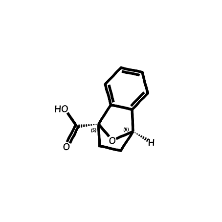 O=C(O)[C@@]12CC[C@@H](O1)c1ccccc12